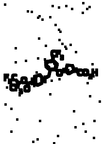 O=C(O)[C@H]1CC[C@@H](Oc2cc(C(F)(F)F)ccc2CN2CCN(C(=O)OC(C(F)(F)F)C(F)(F)F)CC2)C1